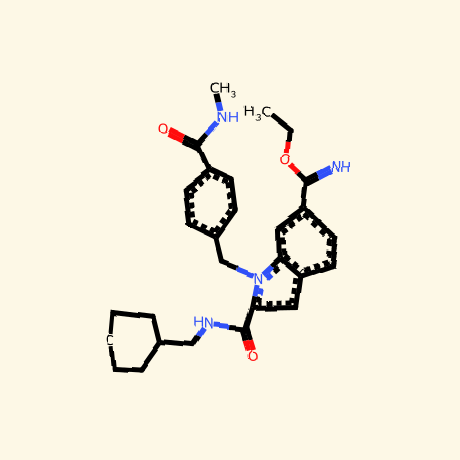 CCOC(=N)c1ccc2cc(C(=O)NCC3CCCCC3)n(Cc3ccc(C(=O)NC)cc3)c2c1